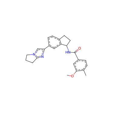 COc1cc(C(=O)NC2CCc3ccc(-c4cn5c(n4)CCC5)cc32)ccc1C